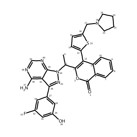 CC(c1oc(=O)c2ccccc2c1-c1ccc(CN2CCCC2)s1)n1nc(-c2cc(O)cc(F)c2)c2c(N)ncnc21